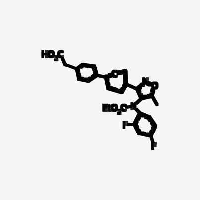 CCOC(=O)N(c1ccc(F)cc1F)c1c(-c2ccc(-c3ccc(CC(=O)O)cc3)cc2)noc1C